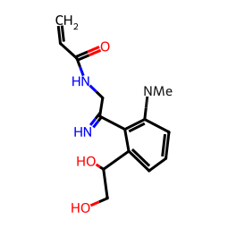 C=CC(=O)NCC(=N)c1c(NC)cccc1C(O)CO